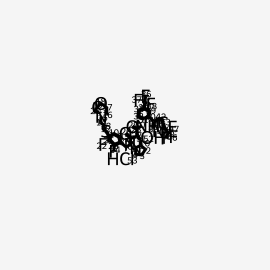 C[C@]12CCCN1N(Cc1ccc(SCCN3CCOCC3)c(F)c1F)C(=O)C(C(=O)Nc1ccc(C(F)(F)F)cc1-c1ccc(C(F)(F)F)nc1)=C2O.Cl